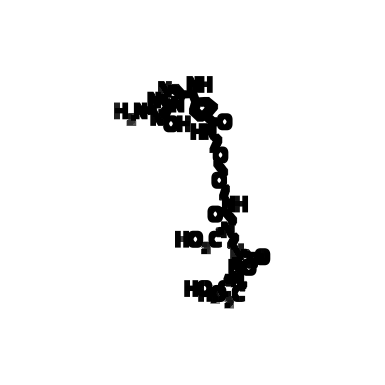 N=C(c1ccc(C(=O)NCCOCCOCCNC(=O)CN(CCN(CCN(CC(=O)O)CC(=O)O)CS(=O)O)CC(=O)O)cc1)c1cnc2nc(N)nc(O)c2n1